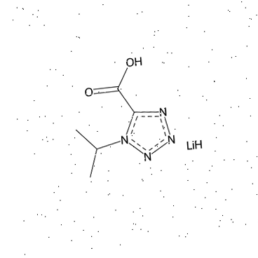 CC(C)n1nnnc1C(=O)O.[LiH]